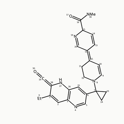 CCC1=Cc2ncc(C3(N4C=CC(=C5C=CC(C(=O)NC)N=C5)CC4)CC3)cc2NC1=C=O